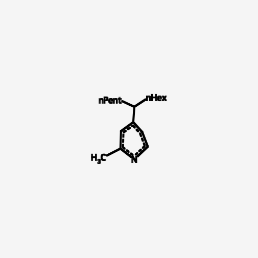 CCCCCCC(CCCCC)c1ccnc(C)c1